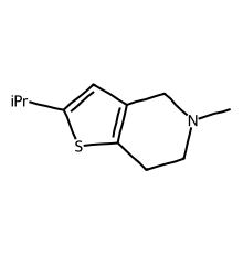 CC(C)c1cc2c(s1)CCN(C)C2